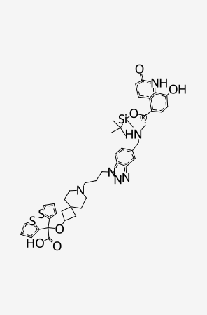 CC(C)(C)[Si](C)(C)O[C@@H](CNCc1ccc2c(c1)nnn2CCCN1CCC2(CC1)CC(OC(C(=O)O)(c1cccs1)c1cccs1)C2)c1ccc(O)c2[nH]c(=O)ccc12